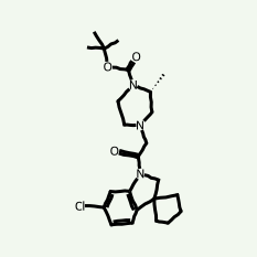 C[C@@H]1CN(CC(=O)N2CC3(CCCC3)c3ccc(Cl)cc32)CCN1C(=O)OC(C)(C)C